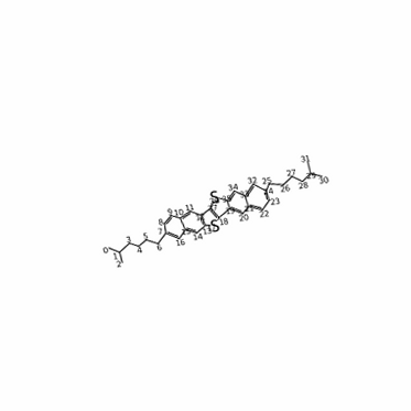 CC(C)CCCCc1ccc2cc3c(cc2c1)sc1c2cc4ccc(CCCCC(C)C)cc4cc2sc31